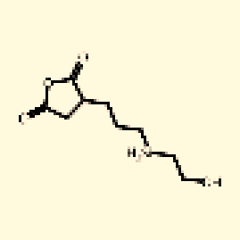 O=C1CC(CCC[SiH2]CCO)C(=O)O1